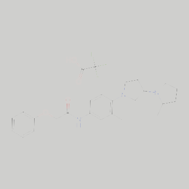 Cc1cc(NC(=O)COc2ccccc2)ccc1N1CCC(N2CCCC2C)C1.O=C(O)C(F)(F)F